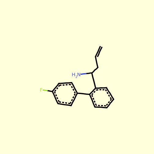 C=CCC(N)c1ccccc1-c1ccc(F)cc1